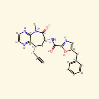 C#CC[C@H]1C[C@@H](NC(=O)c2ncc(Cc3ccccc3)o2)C(=O)N(C)c2nccnc21